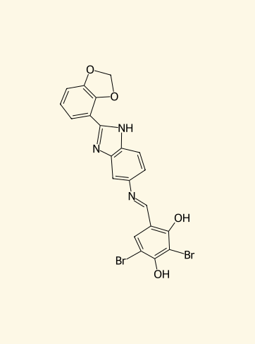 Oc1c(Br)cc(/C=N/c2ccc3[nH]c(-c4cccc5c4OCO5)nc3c2)c(O)c1Br